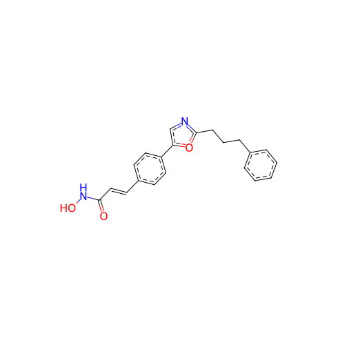 O=C(C=Cc1ccc(-c2cnc(CCCc3ccccc3)o2)cc1)NO